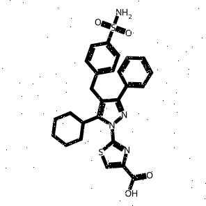 NS(=O)(=O)c1ccc(Cc2c(-c3ccccc3)nn(-c3nc(C(=O)O)cs3)c2C2CCCCC2)cc1